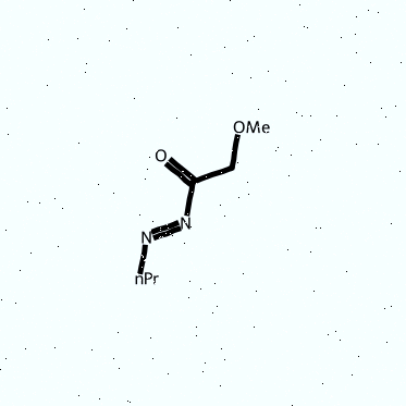 CCCN=NC(=O)COC